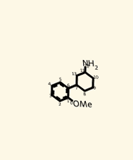 COc1ccccc1C1CCCC(N)C1